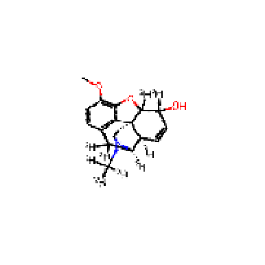 [2H]C([2H])([2H])N1CC[C@]23c4c5ccc(OC)c4OC2([2H])C([2H])(O)C=C[C@H]3[C@@]1([2H])C5([2H])[2H]